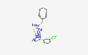 Clc1cccc(-c2cnc3sc(NCc4ccccc4)nn23)c1